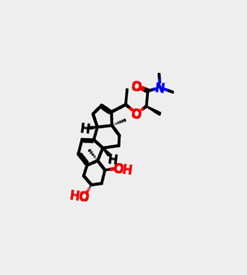 CC(O[C@H](C)C(=O)N(C)C)C1=CC[C@H]2C3=CC=C4C[C@@H](O)C[C@H](O)[C@]4(C)[C@H]3CC[C@]12C